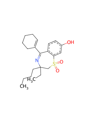 CCCCC1(CC)CS(=O)(=O)c2cc(O)ccc2C(C2=CCCCC2)=N1